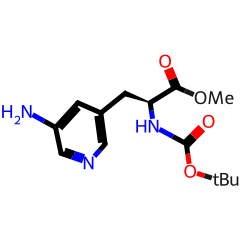 COC(=O)[C@H](Cc1cncc(N)c1)NC(=O)OC(C)(C)C